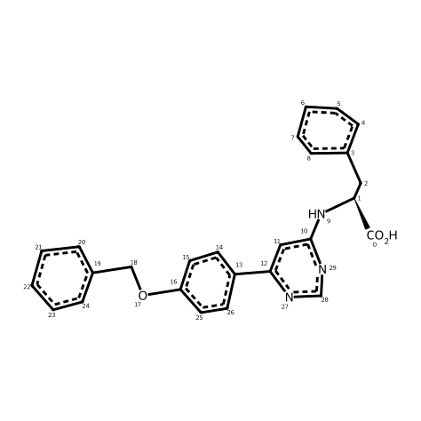 O=C(O)[C@H](Cc1ccccc1)Nc1cc(-c2ccc(OCc3ccccc3)cc2)ncn1